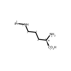 CC(C)NCCC[C@@H](N)C(=O)O